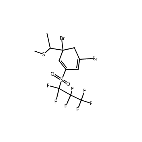 CSC(C)C1(Br)[CH]C(Br)=CC(S(=O)(=O)C(F)(F)C(F)(F)C(F)(F)F)=C1